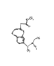 CCN(C)C(C)c1ccc2ccc(CC(=O)OC)cc2c1